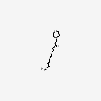 CCCCCCOCCNCCN1CCOCC1